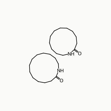 O=C1CCCCCCCCCCCCN1.O=C1CCCCCCCCCCCN1